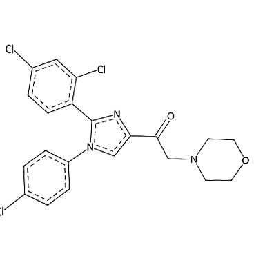 O=C(CN1CCOCC1)c1cn(-c2ccc(Cl)cc2)c(-c2ccc(Cl)cc2Cl)n1